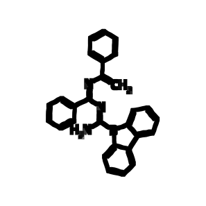 C=C(/N=C(\N=C(/N)B1c2ccccc2-c2ccccc21)c1ccccc1)c1ccccc1